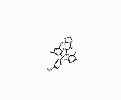 Cc1cccc(C[C@@](NC(=O)NC2CCCC2)(c2cc(F)cc(C(F)(F)F)c2)c2ccc(N)cn2)c1